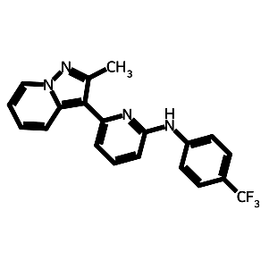 Cc1nn2ccccc2c1-c1cccc(Nc2ccc(C(F)(F)F)cc2)n1